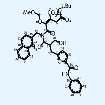 CCOC(=O)C(CC(=O)OC(C)(C)C)=C(OCOC)C(=O)N(Cc1ccc2ccccc2c1)C(C)C(CO)Cc1ccc(C(=O)Nc2ccccc2)o1